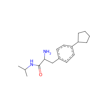 CC(C)NC(=O)C(N)Cc1ccc(C2CCCC2)cc1